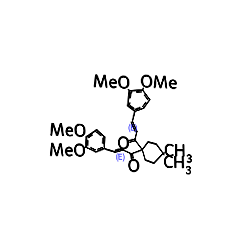 COc1ccc(/C=C/C(=O)C2(C(=O)/C=C/c3ccc(OC)c(OC)c3)CCC(C)(C)CC2)cc1OC